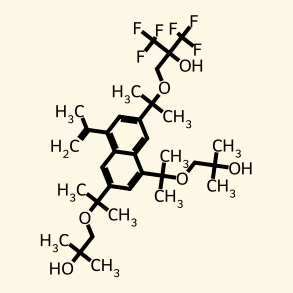 C=C(C)c1cc(C(C)(C)OCC(O)(C(F)(F)F)C(F)(F)F)cc2c(C(C)(C)OCC(C)(C)O)cc(C(C)(C)OCC(C)(C)O)cc12